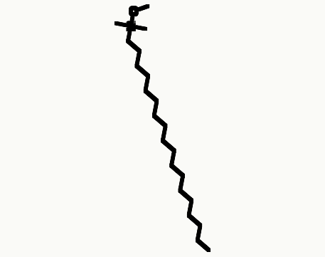 CCCCCCCCCCCCCCCCCC[Si](C)(C)OC